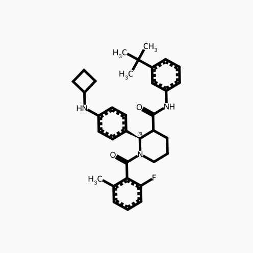 Cc1cccc(F)c1C(=O)N1CCCC(C(=O)Nc2cccc(C(C)(C)C)c2)[C@@H]1c1ccc(NC2CCC2)cc1